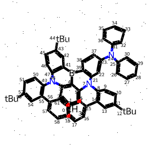 Cc1cc2c3c(c1)N(c1ccc(C(C)(C)C)cc1-c1ccccc1)c1cc(N(c4ccccc4)c4ccccc4)ccc1B3c1cc(C(C)(C)C)ccc1N2c1ccc(C(C)(C)C)cc1-c1ccccc1